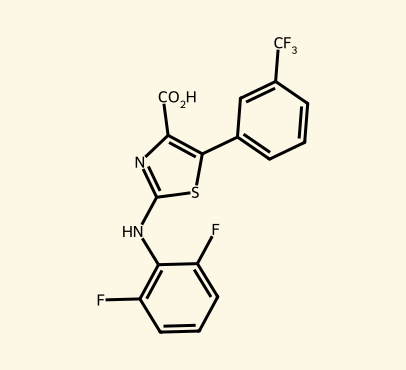 O=C(O)c1nc(Nc2c(F)cccc2F)sc1-c1cccc(C(F)(F)F)c1